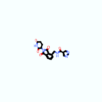 O=C1CCC(N2C(=O)c3cccc(CNC(=O)c4cncnc4)c3C2=O)C(=O)N1